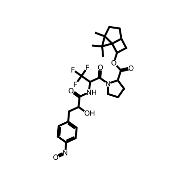 CC1(C)C2(C)CCC3CC(OC(=O)C4CCCN4C(=O)C(NC(=O)C(O)Cc4ccc(N=O)cc4)C(F)(F)F)C312